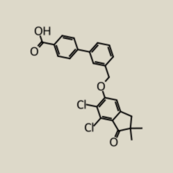 CC1(C)Cc2cc(OCc3cccc(-c4ccc(C(=O)O)cc4)c3)c(Cl)c(Cl)c2C1=O